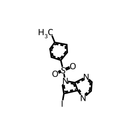 Cc1ccc(S(=O)(=O)n2cc(I)c3nccnc32)cc1